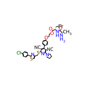 [C-]#[N+]c1c(N2CCCC2)nc(SCc2csc(-c3ccc(Cl)cc3)n2)c(C#N)c1-c1ccc(OCCOC(=O)[C@H](CC(C)C)NC(=O)[C@H](C)N)cc1